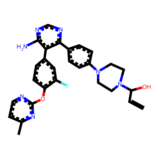 C=CC(O)N1CCN(c2ccc(-c3ncnc(N)c3-c3ccc(Oc4nccc(C)n4)c(F)c3)cc2)CC1